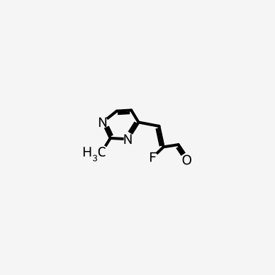 Cc1nccc(C=C(F)C=O)n1